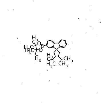 CC(C)CCC1(CCC(C)C)c2ccccc2-c2ccc(B3OC(C)(C)C(C)(C)O3)cc21